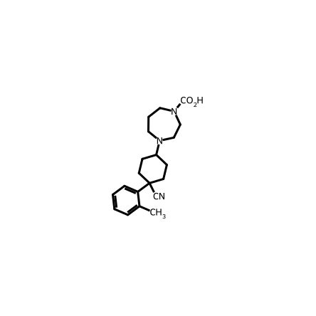 Cc1ccccc1C1(C#N)CCC(N2CCCN(C(=O)O)CC2)CC1